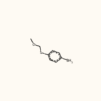 Bc1ccc(SCOC)cc1